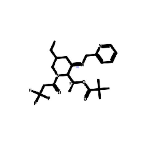 CCC1C/C(=N\Cc2ccccn2)C([C@H](C)OC(=O)C(C)(C)C)N(C(=O)CC(F)(F)F)C1